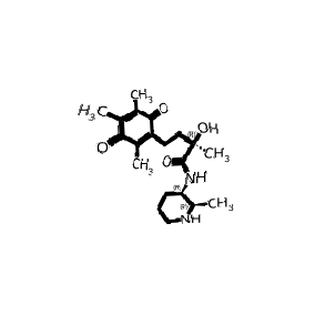 CC1=C(C)C(=O)C(CC[C@@](C)(O)C(=O)N[C@@H]2CCCN[C@@H]2C)=C(C)C1=O